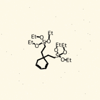 CCO[Si](CCC1(CC[Si](OCC)(OCC)OCC)C=CC=CC1)(OCC)OCC